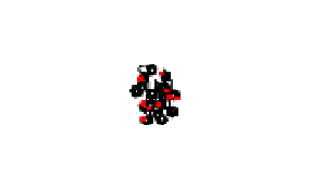 c1ccc(-c2nc(-c3ccccc3)nc(-c3cc(-n4c5ccccc5c5cc6sc7ccccc7c6cc54)cc(-n4c5ccccc5c5c6c(c7ccccc7n6-c6ccccc6)c6c(c7ccccc7n6-c6ccccc6)c54)c3)n2)cc1